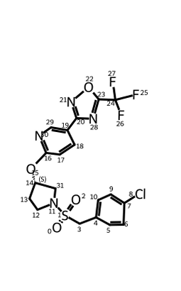 O=S(=O)(Cc1ccc(Cl)cc1)N1CC[C@H](Oc2ccc(-c3noc(C(F)(F)F)n3)cn2)C1